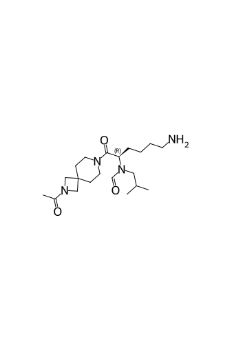 CC(=O)N1CC2(CCN(C(=O)[C@@H](CCCCN)N(C=O)CC(C)C)CC2)C1